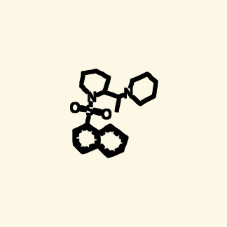 CC(C1CCCCN1S(=O)(=O)c1cccc2ccccc12)N1CCCCC1